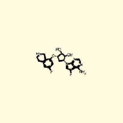 Nc1ncnc2c1c(F)cn2[C@@H]1C[C@H](Oc2cc(F)cc3c2CNCC3)[C@@H](O)[C@H]1O